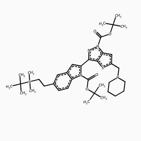 CC(C)(C)OC(=O)n1nc(-c2cc3cc(CC[Si](C)(C)C(C)(C)C)ccc3n2C(=O)OC(C)(C)C)c2sc(CN3CCCCC3)cc21